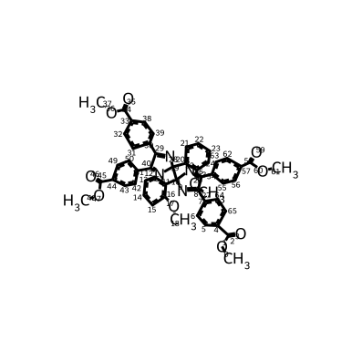 COC(=O)c1ccc(C2=NC(c3ccccc3OC)(C3(c4ccccc4OC)N=C(c4ccc(C(=O)OC)cc4)C(c4ccc(C(=O)OC)cc4)=N3)N=C2c2ccc(C(=O)OC)cc2)cc1